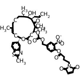 C=CC[C@H]1C(=O)C(C)(C)[C@@H](OC(=O)OCc2ccc(OC(=O)CCCN3C(=O)C=CC3=O)c([N+](=O)[O-])c2)CC(=O)O[C@H](c2ccc3sc(C)nc3c2)C/C=C(/C)CCC[C@H](C)[C@@H]1O